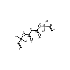 C=CC(C)(C)OC(=O)CC(=O)OC(C)(C)C=C